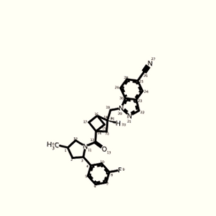 CC1CC(c2cccc(F)c2)N(C(=O)C23CC(C2)[C@H](Cn2ncc4cc(C#N)ccc42)C3)C1